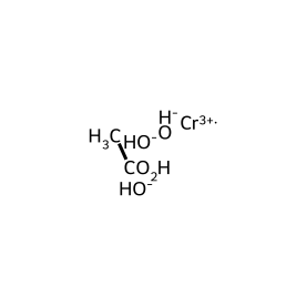 CC(=O)O.[Cr+3].[OH-].[OH-].[OH-]